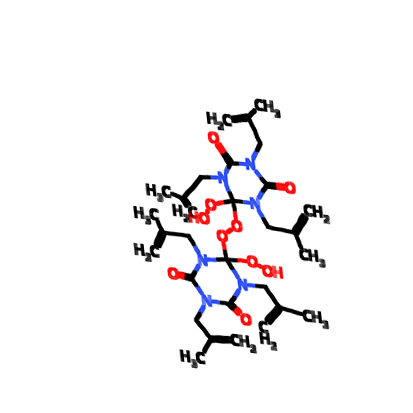 C=C(C)CN1C(=O)N(CC(=C)C)C(OO)(OOC2(OO)N(CC(=C)C)C(=O)N(CC(=C)C)C(=O)N2CC(=C)C)N(CC(=C)C)C1=O